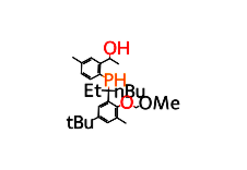 CCCCC(CC)(Pc1ccc(C)cc1C(C)O)c1cc(C(C)(C)C)cc(C)c1OCOC